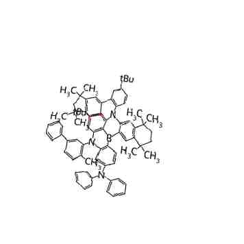 Cc1ccc(-c2ccccc2)cc1N1c2cc(N(c3ccccc3)c3ccccc3)ccc2B2c3cc4c(cc3N(c3ccc(C(C)(C)C)cc3-c3ccc5c(c3)C(C)(C)CC5(C)C)c3cc(C(C)(C)C)cc1c32)C(C)(C)CCC4(C)C